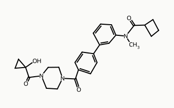 CN(C(=O)C1CCC1)c1cccc(-c2ccc(C(=O)N3CCN(C(=O)C4(O)CC4)CC3)cc2)c1